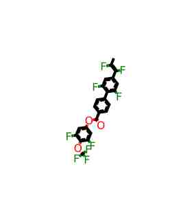 C/C(F)=C(\F)c1cc(F)c(-c2ccc(C(=O)Oc3cc(F)c(OC(F)(F)F)c(F)c3)cc2)c(F)c1